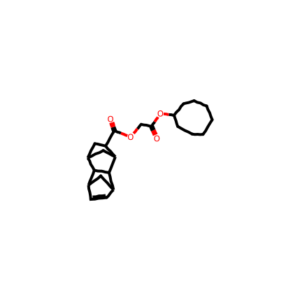 O=C(COC(=O)C1CC2CC1C1C3C=CC(C3)C21)OC1CCCCCCC1